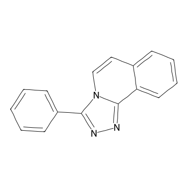 c1ccc(-c2nnc3c4ccccc4ccn23)cc1